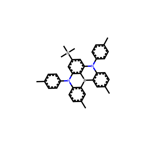 Cc1ccc(N2c3ccc(C)cc3B3c4cc(C)ccc4N(c4ccc(C)cc4)c4cc([Si](C)(C)C)cc2c43)cc1